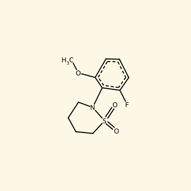 COc1cccc(F)c1N1CCCCS1(=O)=O